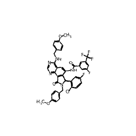 COc1ccc(CNc2ncnc3c4c(c(NC(=O)c5cc(F)cc(C(F)(F)F)c5)cc23)C(c2cc(F)ccc2Cl)N(Cc2ccc(OC)cc2)C4=O)cc1